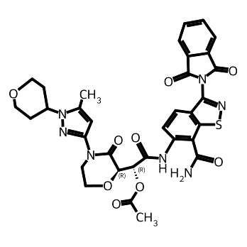 CC(=O)O[C@@H](C(=O)Nc1ccc2c(N3C(=O)c4ccccc4C3=O)nsc2c1C(N)=O)[C@H]1OCCN(c2cc(C)n(C3CCOCC3)n2)C1=O